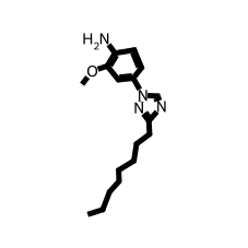 CCCCCCCCc1ncn(-c2ccc(N)c(OC)c2)n1